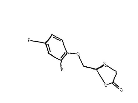 O=C1CSC(COc2ccc(F)cc2F)O1